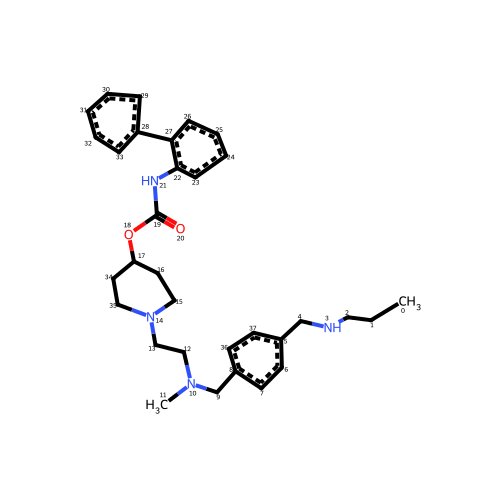 CCCNCc1ccc(CN(C)CCN2CCC(OC(=O)Nc3ccccc3-c3ccccc3)CC2)cc1